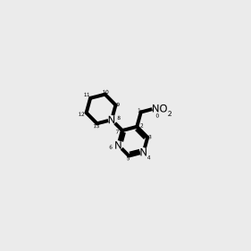 O=[N+]([O-])Cc1cn[c]nc1N1CCCCC1